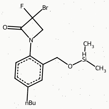 CCCCc1ccc(N2CC(F)(Br)C2=O)c(CO[SiH](C)C)c1